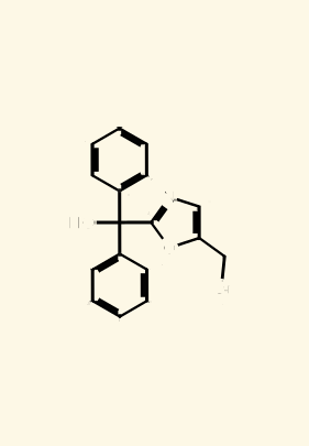 OC(c1ccccc1)(c1ccccc1)c1ncc(CBr)o1